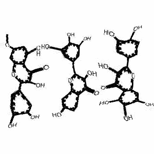 COc1cc(O)c2c(=O)c(O)c(-c3ccc(O)c(O)c3)oc2c1.O=c1c(O)c(-c2cc(O)c(O)c(O)c2)oc2cc(O)ccc12.O=c1c(O)c(-c2ccc(O)c(O)c2)oc2cc(O)c(O)c(O)c12